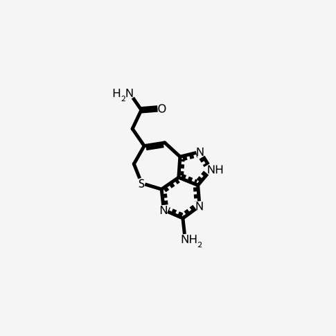 NC(=O)CC1=Cc2n[nH]c3nc(N)nc(c23)SC1